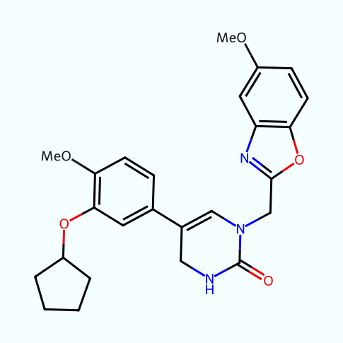 COc1ccc2oc(CN3C=C(c4ccc(OC)c(OC5CCCC5)c4)CNC3=O)nc2c1